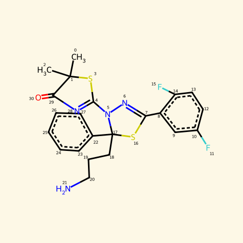 CC1(C)SC(N2N=C(c3cc(F)ccc3F)SC2(CCCN)c2ccccc2)=NC1=O